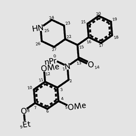 CCCN(Cc1c(OC)cc(OCC)cc1OC)C(=O)C(c1ccccc1)C1CCNCC1